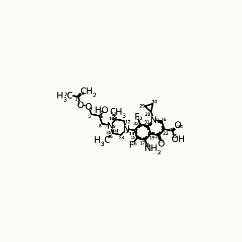 C=C(C)OOCC(O)CN1[C@H](C)CN(c2c(F)c(N)c3c(=O)c(C(=O)O)cn(C4CC4)c3c2F)C[C@@H]1C